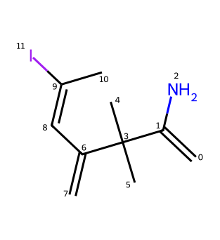 C=C(N)C(C)(C)C(=C)/C=C(\C)I